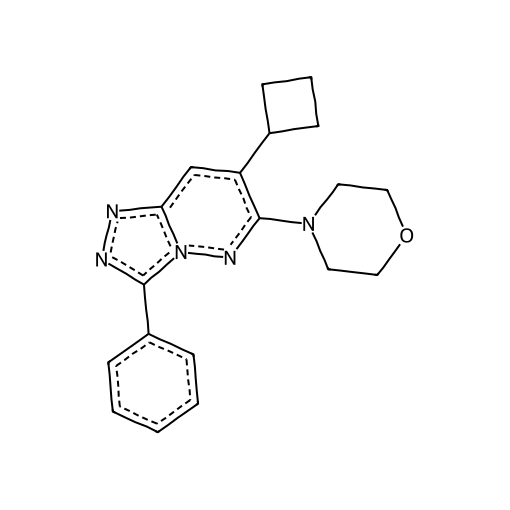 c1ccc(-c2nnc3cc(C4CCC4)c(N4CCOCC4)nn23)cc1